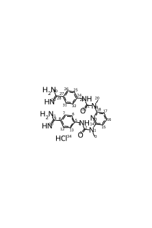 CN(C(=O)Nc1ccc(C(=N)N)cc1)c1cccc(N(C)C(=O)Nc2ccc(C(=N)N)cc2)n1.Cl